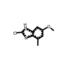 COc1cc(C)c2nc(Cl)[nH]c2c1